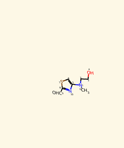 CN(CCO)c1csc(C=O)n1